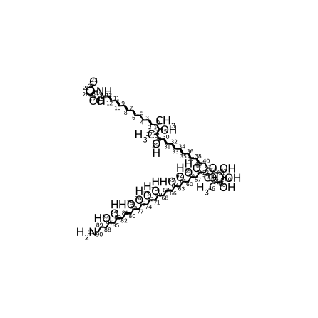 CC(/C=C/CC/C=C/C=C/C=C/C=C/C(=O)NC1=C(O)CCC1=O)C(O)C(C)C(O)/C=C/C=C/C=C/C=C/C=C/CC(OC1OC(C)C(O)C(O)C1O)C(C)C(=O)CC(O)CC(O)CC(O)/C=C/CC(O)CC(O)CC(O)CC(O)/C=C/CC(O)CC(O)CCCN